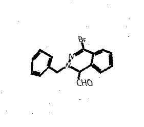 O=CC1c2ccccc2C(Br)=NN1Cc1ccccc1